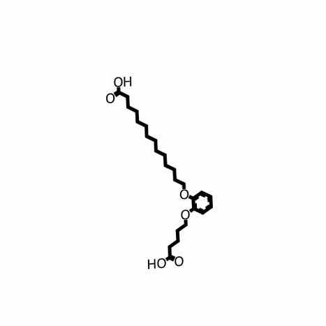 O=C(O)CCCCCCCCCCCCCOc1ccccc1OCCCCC(=O)O